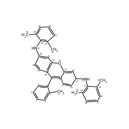 Cc1ccccc1C1=C2C=CC(Nc3c(C)cccc3C)C=C2Oc2cc(Nc3c(C)cccc3C)ccc21